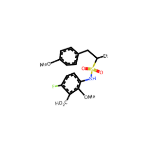 CCC(Cc1ccc(OC)cc1)S(=O)(=O)Nc1ccc(F)c(C(=O)O)c1OC